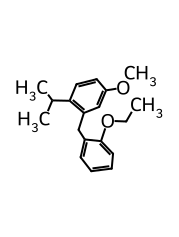 CCOc1ccccc1Cc1cc(OC)ccc1C(C)C